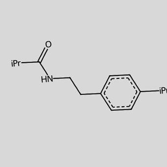 CC(C)C(=O)NCCc1ccc(C(C)C)cc1